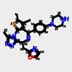 Cc1sc2c(c1C)C(c1ccc(N3CCNCC3)cc1)=N[C@@H](Cc1ncco1)c1nnc(C)n1-2